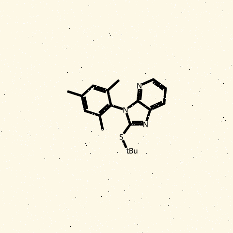 Cc1cc(C)c(-n2c(SC(C)(C)C)nc3cccnc32)c(C)c1